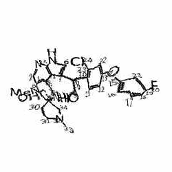 CNc1cnc2[nH]cc(C(O)c3ccc(Oc4cccc(F)c4)cc3Cl)c2c1NC1(C=O)CCN(C)C1